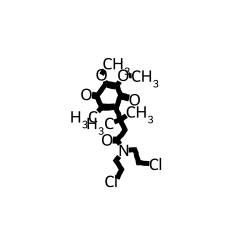 COC1=C(OC)C(=O)C(C(C)(C)CC(=O)N(CCCl)CCCl)=C(C)C1=O